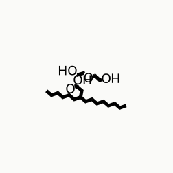 CCCCCCCCC(CCCCCC)CC(=O)O.OCCOCCO